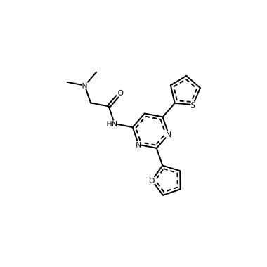 CN(C)CC(=O)Nc1cc(-c2cccs2)nc(-c2ccco2)n1